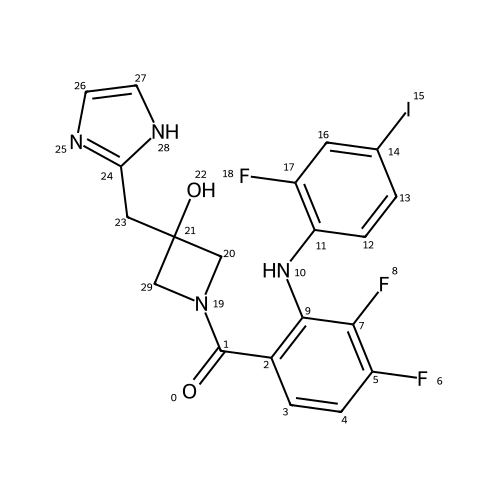 O=C(c1ccc(F)c(F)c1Nc1ccc(I)cc1F)N1CC(O)(Cc2ncc[nH]2)C1